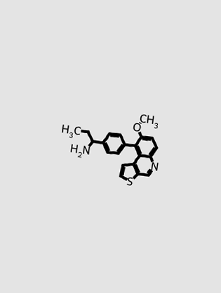 CCC(N)c1ccc(-c2c(OC)ccc3ncc4sccc4c23)cc1